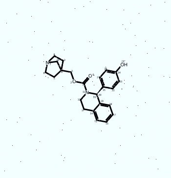 O=C(OCC12CCN(CC1)C2)N1CCc2ccccc2[C@@H]1c1ccc(O)cc1